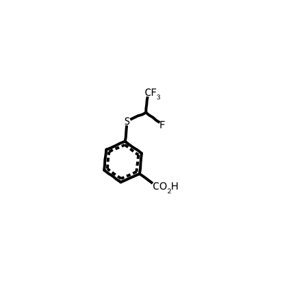 O=C(O)c1cccc(SC(F)C(F)(F)F)c1